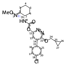 CO/N=C1\CCCC[C@@H]1NC(=O)Oc1cc(-c2ccc(Cl)cc2)c(OCC2CC2)nn1